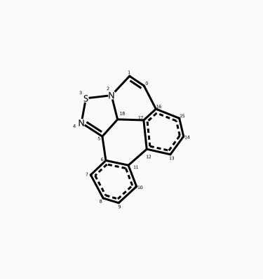 C1=CN2SN=C3c4ccccc4-c4cccc1c4C32